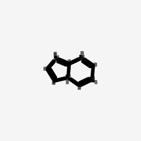 [c]1ncn2ccnc2n1